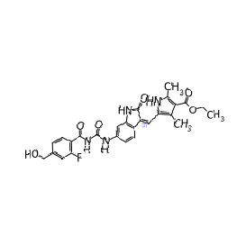 CCOC(=O)c1c(C)[nH]c(/C=C2\C(=O)Nc3cc(NC(=O)NC(=O)c4ccc(CO)cc4F)ccc32)c1C